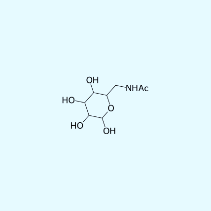 CC(=O)NCC1OC(O)C(O)C(O)C1O